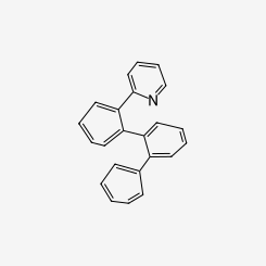 c1ccc(-c2ccccc2-c2ccccc2-c2ccccn2)cc1